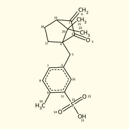 C=C1C(=O)C2(Cc3ccc(C)c(S(=O)(=O)O)c3)CCC1C2(C)C